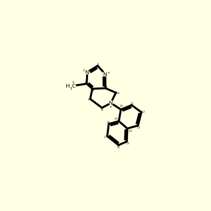 Cc1ncnc2c1CCN(c1cccc3ccccc13)C2